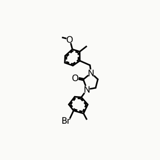 COc1cccc(CN2CCN(c3ccc(Br)c(C)c3)C2=O)c1C